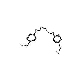 OCc1ccc(OC/C=C\COc2ccc(CO)cc2)cc1